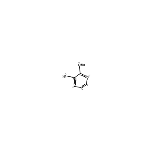 CC(C)COc1ncccc1C#N